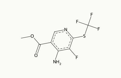 COC(=O)c1cnc(SC(F)(F)F)c(F)c1N